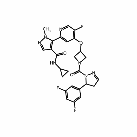 Cn1ncc(C(=O)NC2CC2)c1-c1cc(OC2CN(C(=O)N3N=CCC3c3cc(F)cc(F)c3)C2)c(F)cn1